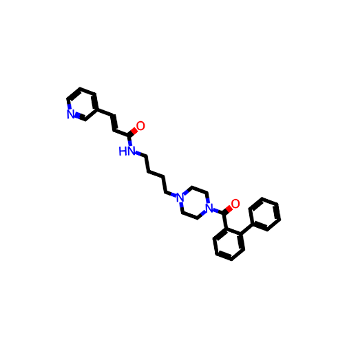 O=C(C=Cc1cccnc1)NCCCCN1CCN(C(=O)c2ccccc2-c2ccccc2)CC1